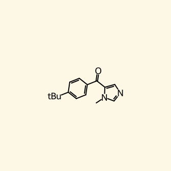 Cn1cncc1C(=O)c1ccc(C(C)(C)C)cc1